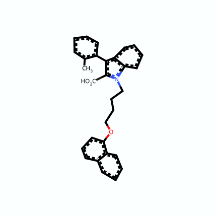 Cc1ccccc1-c1c(C(=O)O)n(CCCCOc2cccc3ccccc23)c2ccccc12